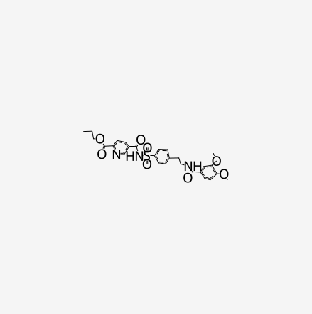 CCCOC(=O)c1ccc(C(=O)NS(=O)(=O)c2ccc(CCNC(=O)c3ccc(OC)c(OC)c3)cc2)cn1